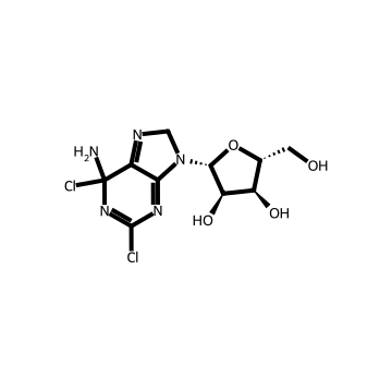 NC1(Cl)N=C(Cl)N=C2C1=NCN2[C@@H]1O[C@H](CO)[C@@H](O)[C@H]1O